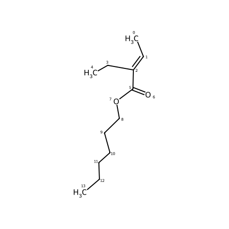 C/C=C(\CC)C(=O)OCCCCCC